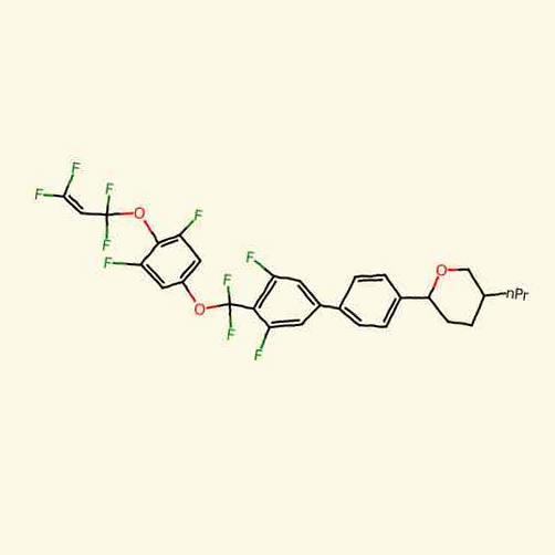 CCCC1CCC(c2ccc(-c3cc(F)c(C(F)(F)Oc4cc(F)c(OC(F)(F)C=C(F)F)c(F)c4)c(F)c3)cc2)OC1